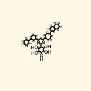 Oc1c(O)c(O)c(-c2nc(C3=CC=C(c4ccc5c(c4)C=CCC5)C=CC3)cc(-c3cccc(-c4cccnc4)c3)n2)c(O)c1O